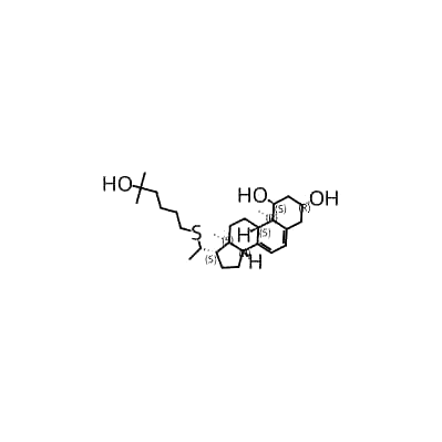 CC(SCCCCC(C)(C)O)[C@H]1CC[C@H]2C3=CC=C4C[C@@H](O)C[C@H](O)[C@]4(C)[C@H]3CC[C@]12C